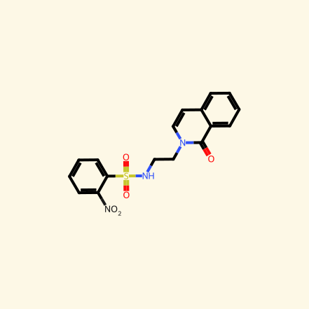 O=c1c2ccccc2ccn1CCNS(=O)(=O)c1ccccc1[N+](=O)[O-]